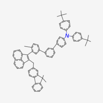 Cc1ccc(-c2cccc(-c3ccc(N(c4ccc(C(C)(C)C)cc4)c4ccc(C(C)(C)C)cc4)cc3)c2)cc1C1=C(Cc2ccc3c(c2)C(C)(C)c2ccccc2-3)c2cccc3cccc1c23